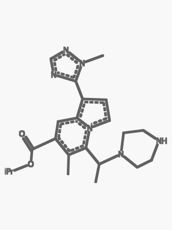 Cc1c(C(=O)OC(C)C)cc2c(-c3ncnn3C)ccn2c1C(C)N1CCNCC1